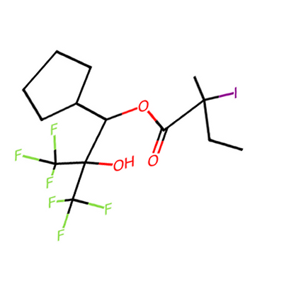 CCC(C)(I)C(=O)OC(C1CCCC1)C(O)(C(F)(F)F)C(F)(F)F